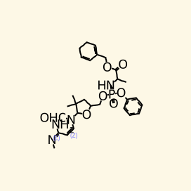 C/N=C(N)\C=C/N(C=O)C1OC(COP(=O)(NC(C)C(=O)OCC2=CCCC=C2)Oc2ccccc2)CC1(C)C